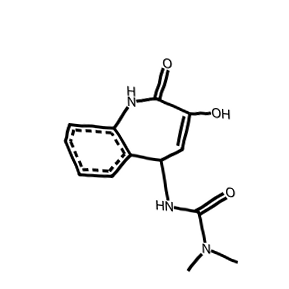 CN(C)C(=O)NC1C=C(O)C(=O)Nc2ccccc21